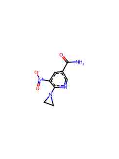 NC(=O)c1cnc(N2CC2)c([N+](=O)[O-])c1